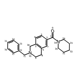 O=C(c1ccc2c(c1)CCN(Cc1ccccc1)C2)N1CCCCC1